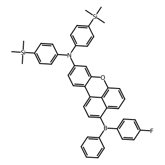 C[Si](C)(C)c1ccc(N(c2ccc([Si](C)(C)C)cc2)c2ccc3c(c2)Oc2cccc4c(B(c5ccccc5)c5ccc(F)cc5)ccc-3c24)cc1